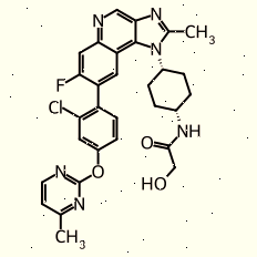 Cc1ccnc(Oc2ccc(-c3cc4c(cc3F)ncc3nc(C)n([C@H]5CC[C@@H](NC(=O)CO)CC5)c34)c(Cl)c2)n1